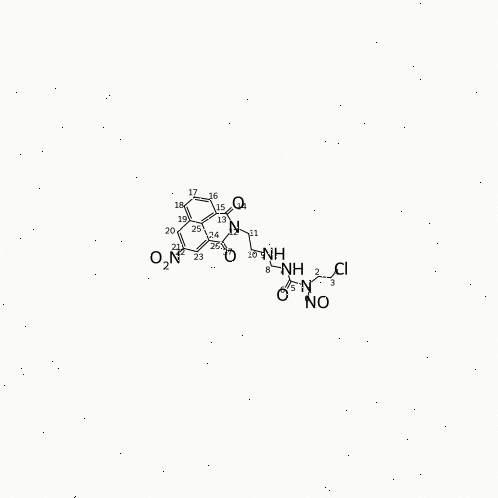 O=NN(CCCl)C(=O)NCNCCN1C(=O)c2cccc3cc([N+](=O)[O-])cc(c23)C1=O